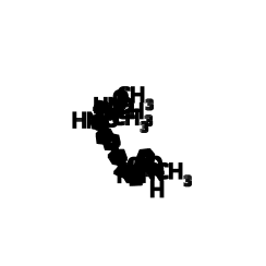 CNC(=O)N[C@@H](C(=O)N1CCC[C@H]1c1ncc(-c2ccc(-c3ccc4cc(-c5c[nH]c([C@@H]6CCCN6C(=O)[C@@H](NC(=O)OC)C(C)C)n5)ccc4c3)cc2)[nH]1)c1ccccc1